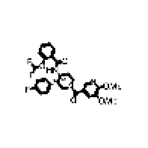 COc1cc(C(=O)N2CC[C@H](NC(=O)c3ccccc3OC(F)F)[C@@H](c3ccc(F)cc3)C2)cnc1OC